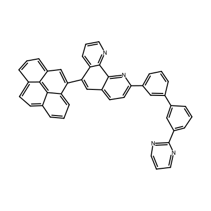 c1cnc(-c2cccc(-c3cccc(-c4ccc5cc(-c6cc7cccc8ccc9cccc6c9c87)c6cccnc6c5n4)c3)c2)nc1